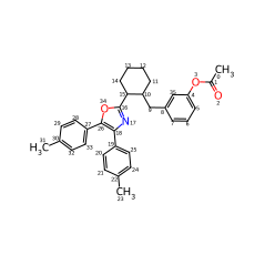 CC(=O)Oc1cccc(CC2CCCCC2c2nc(-c3ccc(C)cc3)c(-c3ccc(C)cc3)o2)c1